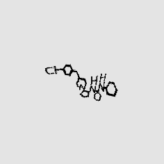 O=C(NC1CCCCC1)NC1CCCC1N1CCC(Cc2ccc(Cl)cc2)CC1